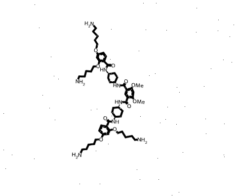 COc1cc(OC)c(C(=O)N[C@H]2CC[C@H](NC(=O)c3ccc(OCCCCCN)cc3OCCCCCN)CC2)cc1C(=O)N[C@H]1CC[C@H](NC(=O)c2ccc(OCCCCCN)cc2OCCCCCN)CC1